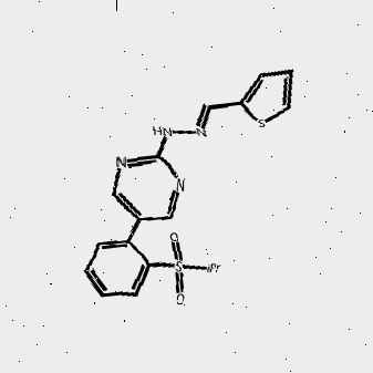 CC(C)S(=O)(=O)c1ccccc1-c1cnc(NN=Cc2cccs2)nc1